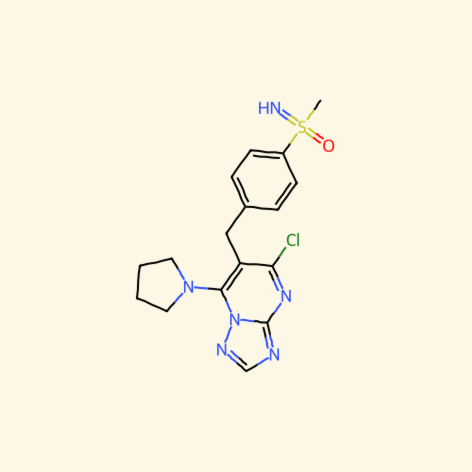 CS(=N)(=O)c1ccc(Cc2c(Cl)nc3ncnn3c2N2CCCC2)cc1